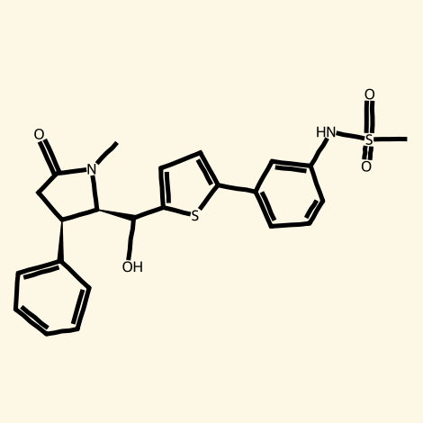 CN1C(=O)C[C@H](c2ccccc2)[C@@H]1C(O)c1ccc(-c2cccc(NS(C)(=O)=O)c2)s1